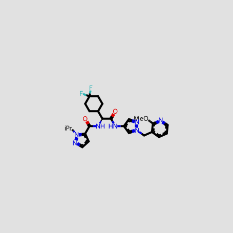 COc1ncccc1Cn1cc(NC(=O)[C@@H](NC(=O)c2ccnn2C(C)C)C2CCC(F)(F)CC2)cn1